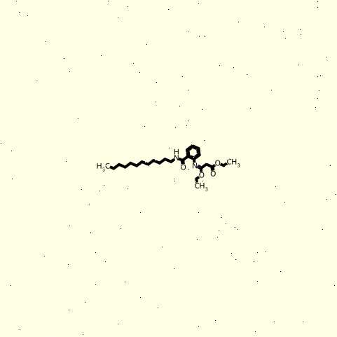 CCCCCCCCCCCCNC(=O)c1ccccc1/N=C(\CC(=O)OCC)OCC